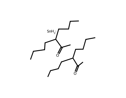 CCCCC(CCCC)C(C)=O.CCCCC(CCCC)C(C)=O.[SnH2]